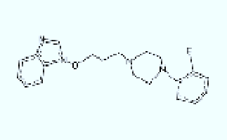 Fc1ccccc1N1CCN(CCCOn2cnc3ccccc32)CC1